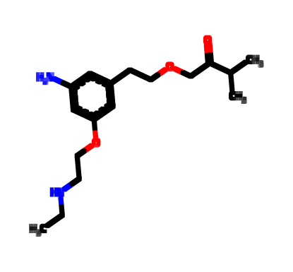 CCNCCOc1cc(N)cc(CCOCC(=O)C(C)C)c1